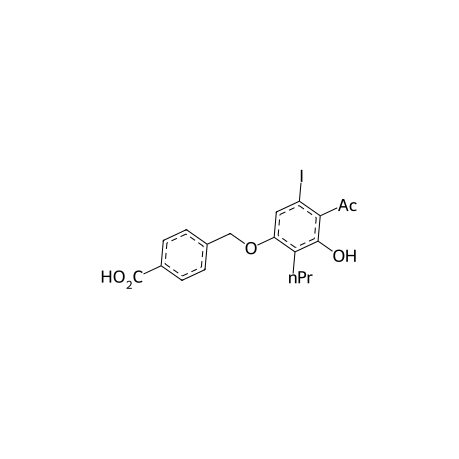 CCCc1c(OCc2ccc(C(=O)O)cc2)cc(I)c(C(C)=O)c1O